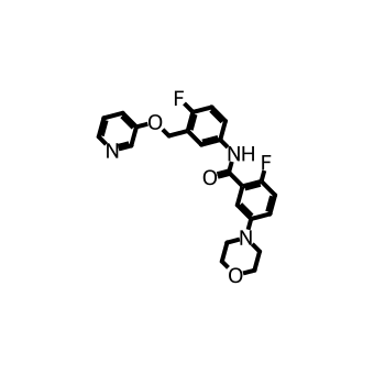 O=C(Nc1ccc(F)c(COc2cccnc2)c1)c1cc(N2CCOCC2)ccc1F